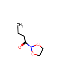 CCCC(=O)N1OCCO1